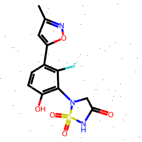 Cc1cc(-c2ccc(O)c(N3CC(=O)NS3(=O)=O)c2F)on1